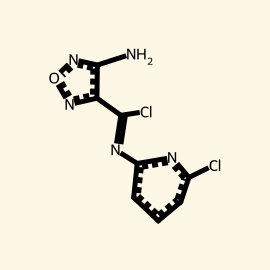 Nc1nonc1C(Cl)=Nc1cccc(Cl)n1